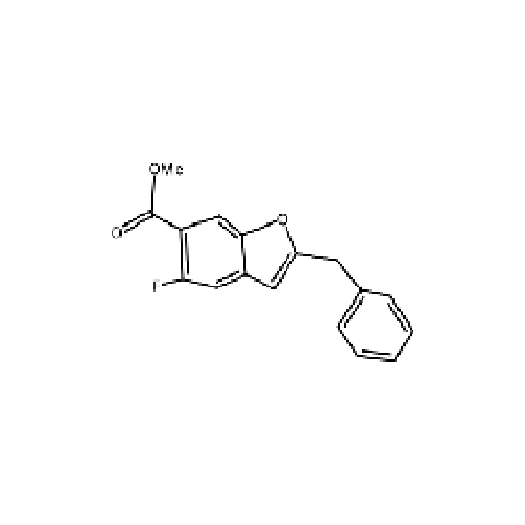 COC(=O)c1cc2oc(Cc3ccccc3)cc2cc1F